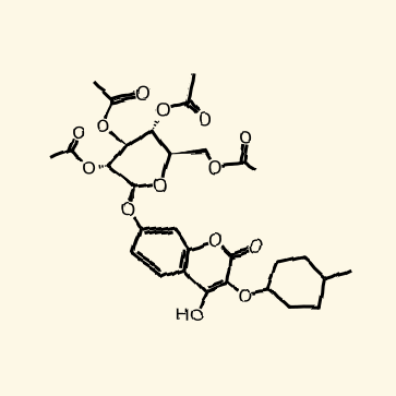 CC(=O)OC[C@H]1O[C@@H](Oc2ccc3c(O)c(OC4CCC(C)CC4)c(=O)oc3c2)[C@H](OC(C)=O)[C@@H](OC(C)=O)[C@@H]1OC(C)=O